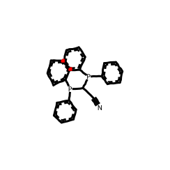 N#CC(P(c1ccccc1)c1ccccc1)P(c1ccccc1)c1ccccc1